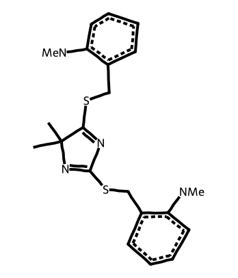 CNc1ccccc1CSC1=NC(C)(C)C(SCc2ccccc2NC)=N1